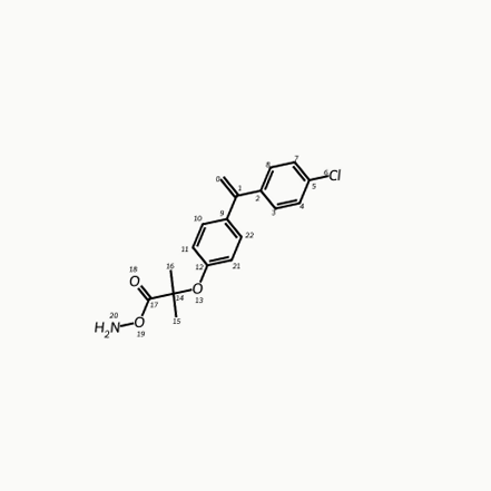 C=C(c1ccc(Cl)cc1)c1ccc(OC(C)(C)C(=O)ON)cc1